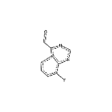 O=Cc1ncnc2c(F)cccc12